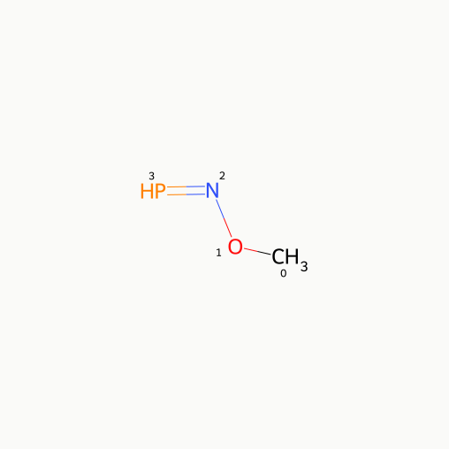 CON=P